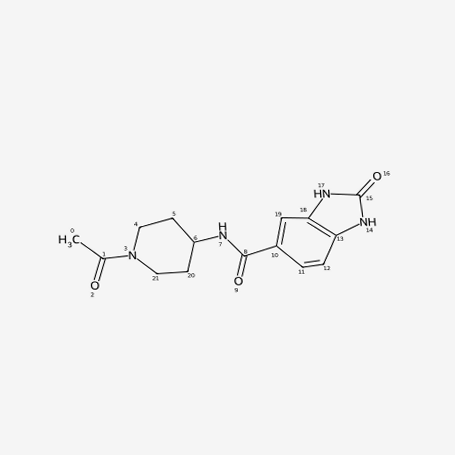 CC(=O)N1CCC(NC(=O)c2ccc3[nH]c(=O)[nH]c3c2)CC1